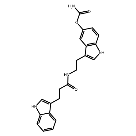 NC(=O)Oc1ccc2[nH]cc(CCNC(=O)[CH]Cc3c[nH]c4ccccc34)c2c1